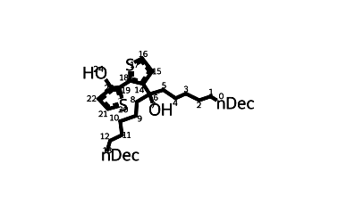 CCCCCCCCCCCCCCCC(O)(CCCCCCCCCCCCCCC)c1ccsc1-c1sccc1O